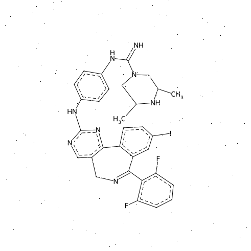 CC1CN(C(=N)Nc2ccc(Nc3ncc4c(n3)-c3ccc(I)cc3C(c3c(F)cccc3F)=NC4)cc2)CC(C)N1